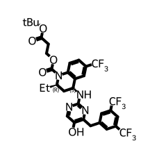 CC[C@@H]1C[C@H](Nc2ncc(O)c(Cc3cc(C(F)(F)F)cc(C(F)(F)F)c3)n2)c2cc(C(F)(F)F)ccc2N1C(=O)OCCC(=O)OC(C)(C)C